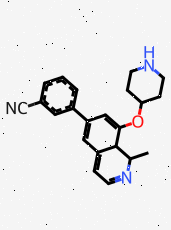 CC1N=CC=C2C=C(c3cccc(C#N)c3)C=C(OC3CCNCC3)C21